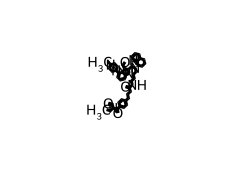 CCN(C=O)C(=O)c1ccc(CCCC(=O)NCCCCN(Cc2nc3cccc(N4CCN(C)CC4)n3c2CO)[C@H]2CCCc3cccnc32)cc1